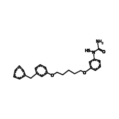 NC(=O)N(S)c1cccc(OCCCCCOc2cccc(Cc3ccccc3)c2)c1